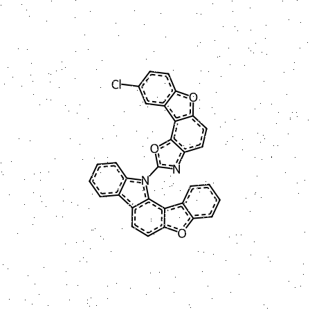 Clc1ccc2oc3ccc4nc(-n5c6ccccc6c6ccc7oc8ccccc8c7c65)oc4c3c2c1